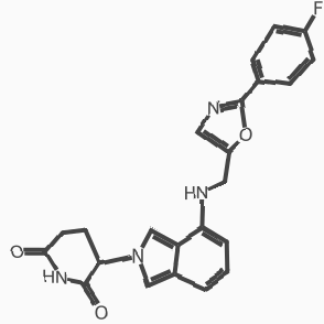 O=C1CCC(n2cc3cccc(NCc4cnc(-c5ccc(F)cc5)o4)c3c2)C(=O)N1